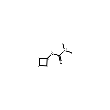 CN(C)C(=O)OC1C[CH]C1